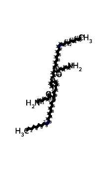 CCCCCCCC/C=C\CCCCCCCCN(CCCN1CCN(CCCN(CCCCCCCC/C=C\CCCCCCCC)C(=O)CCCCN)CC1)C(=O)CCCCN